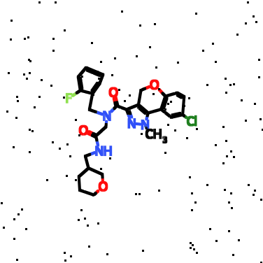 Cn1nc(C(=O)N(CC(=O)NCC2CCCOC2)Cc2ccccc2F)c2c1-c1cc(Cl)ccc1OC2